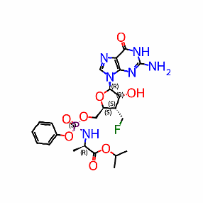 CC(C)OC(=O)[C@@H](C)N[P@](=O)(OC[C@H]1O[C@@H](n2cnc3c(=O)[nH]c(N)nc32)[C@H](O)[C@@H]1CF)Oc1ccccc1